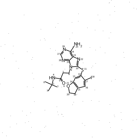 CC(C)(C)NC(=O)CCn1c(Sc2cc3c(cc2I)CCO3)nc2c(N)ncnc21